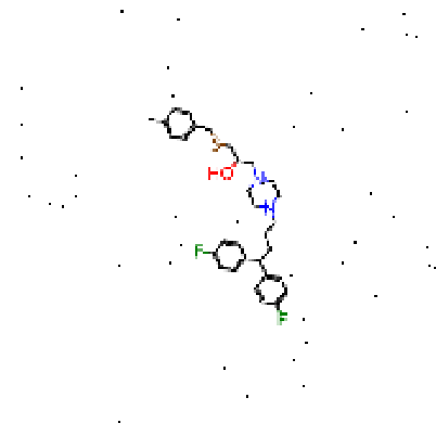 Cc1ccc(CSCC(O)CN2CCN(CCCC(c3ccc(F)cc3)c3ccc(F)cc3)CC2)cc1